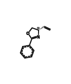 C=C[C@H]1COC(c2ccccc2)=N1